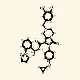 C[C@H](NC(=O)c1c2n(c(=O)n1-c1ccc(OC3CC3)cc1)CCN(Cc1ccc(Br)c(Cl)c1)C2)c1ccccc1-n1cccn1